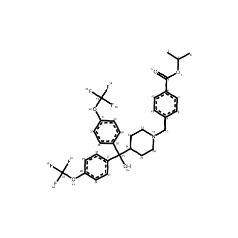 CC(C)OC(=O)c1ccc(CN2CCC(C(O)(c3ccc(OC(F)(F)F)cc3)c3ccc(OC(F)(F)F)cc3)CC2)cc1